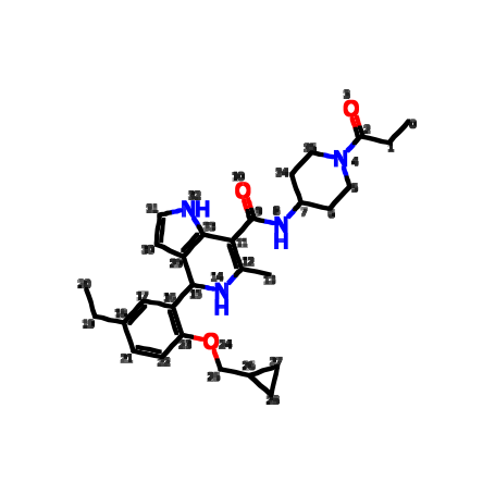 CCC(=O)N1CCC(NC(=O)C2=C(C)NC(c3cc(CC)ccc3OCC3CC3)c3cc[nH]c32)CC1